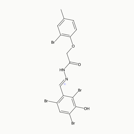 Cc1ccc(OCC(=O)N/N=C/c2c(Br)cc(Br)c(O)c2Br)c(Br)c1